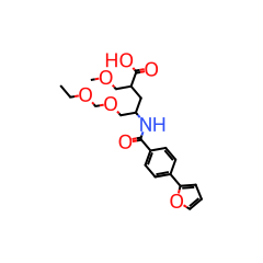 CCOCOCC(CC(COC)C(=O)O)NC(=O)c1ccc(-c2ccco2)cc1